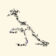 CCCCC/C=C\C/C=C\CCCCCCCCC(O)(CCCCCCCC/C=C\C/C=C\CCCCC)OCCCN(CCCCCC(=O)NCCOCCOCCO[C@@H]1OCC(CC)[C@H](C)C(O)C1NC(C)=O)CCCCCC(=O)NCCOCCOCCO[C@@H]1OC(CC)[C@H](C)C(O)C1NC(C)=O